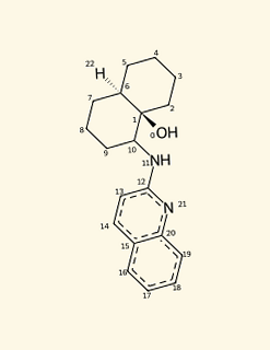 O[C@]12CCCC[C@@H]1CCCC2Nc1ccc2ccccc2n1